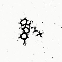 CC(C)(C)OC(=O)NOC(=O)C1(C2CCc3cc(Br)ccc3C2=O)CCCCC1